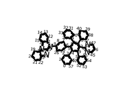 c1ccc(-c2c(-c3ccc(-n4c5ccccc5n5c6ccccc6nc45)cc3)c(-c3ccccc3)c(-c3ccccc3)c(-c3ncccn3)c2-c2ccccc2)cc1